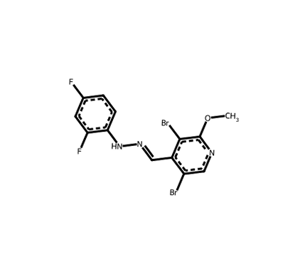 COc1ncc(Br)c(C=NNc2ccc(F)cc2F)c1Br